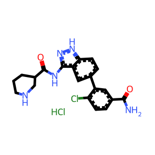 Cl.NC(=O)c1ccc(Cl)c(-c2ccc3[nH]nc(NC(=O)C4CCCNC4)c3c2)c1